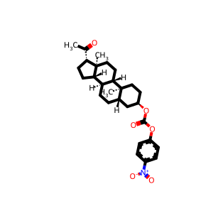 CC(=O)[C@H]1CC[C@H]2[C@@H]3CC[C@H]4C[C@H](OC(=O)Oc5ccc([N+](=O)[O-])cc5)CC[C@]4(C)[C@H]3CC[C@]12C